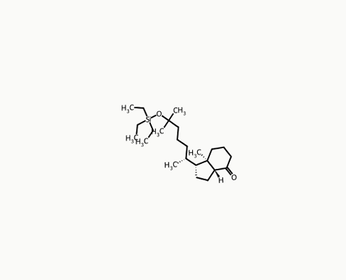 CC[Si](CC)(CC)OC(C)(C)CCC[C@@H](C)[C@H]1CC[C@H]2C(=O)CCC[C@]12C